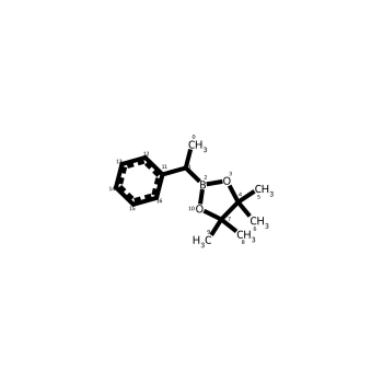 CC(B1OC(C)(C)C(C)(C)O1)c1ccccc1